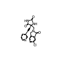 O=C1NC(=O)[C@@](C#Cc2cccnc2)(CN2Cc3ccc(Cl)cc3C2=O)N1